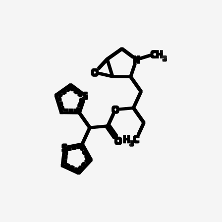 CCC(CC1C2OC2CN1C)OC(=O)C(c1cccs1)c1cccs1